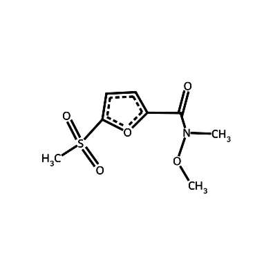 CON(C)C(=O)c1ccc(S(C)(=O)=O)o1